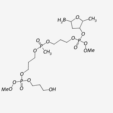 BC1CC(OP(=O)(OCCCOP(C)(=O)OCCCOP(=O)(OCCCO)OOC)OOC)C(C)O1